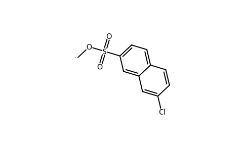 [CH2]OS(=O)(=O)c1ccc2ccc(Cl)cc2c1